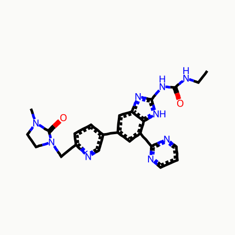 CCNC(=O)Nc1nc2cc(-c3ccc(CN4CCN(C)C4=O)nc3)cc(-c3ncccn3)c2[nH]1